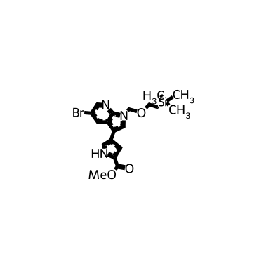 COC(=O)c1cc(-c2cn(COCC[Si](C)(C)C)c3ncc(Br)cc23)c[nH]1